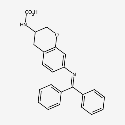 O=C(O)NC1COc2cc(N=C(c3ccccc3)c3ccccc3)ccc2C1